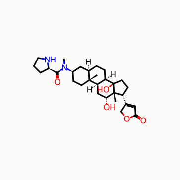 CN(C(=O)[C@H]1CCCN1)[C@@H]1CC[C@]2(C)[C@H](CC[C@@H]3[C@H]2C[C@@H](O)[C@@]2(C)[C@@H](C4=CC(=O)OC4)CC[C@@]32O)C1